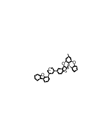 Cc1cc2c3c(c1)Oc1c(sc4ccc(-c5cccc(-c6cccc7c6oc6ccccc67)c5)cc14)P3(=S)c1ccccc1O2